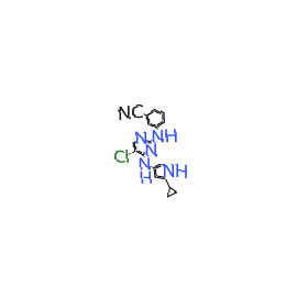 N#Cc1cccc(Nc2ncc(Cl)c(Nc3c[nH]c(C4CC4)c3)n2)c1